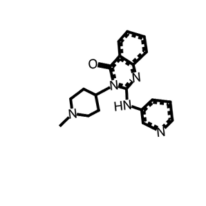 CN1CCC(n2c(Nc3cccnc3)nc3ccccc3c2=O)CC1